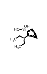 CCN(CC)c1ccc2cc1-2.OBO